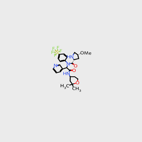 CO[C@H]1CN[C@@H](C(=O)N(c2ccc(S(F)(F)(F)(F)F)cc2)C(C(=O)NC2CCOC(C)(C)C2)c2cccnc2)C1